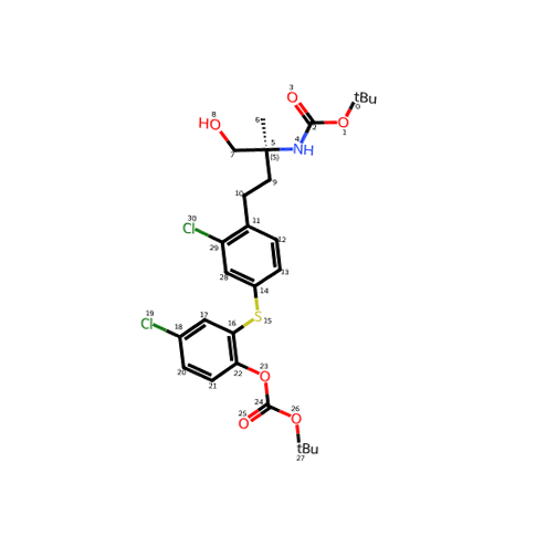 CC(C)(C)OC(=O)N[C@](C)(CO)CCc1ccc(Sc2cc(Cl)ccc2OC(=O)OC(C)(C)C)cc1Cl